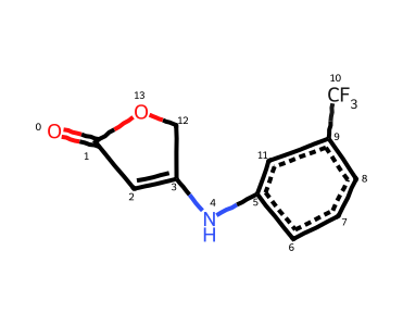 O=C1C=C(Nc2cccc(C(F)(F)F)c2)CO1